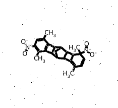 CC1=C2C3C4CC(C5c6c(C)cc([N+](=O)[O-])c(C)c6C45)C3C2C(C)([N+](=O)[O-])C=C1